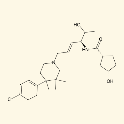 CC(O)[C@H](/C=C/CN1CCC(C)(C2=CC=C(Cl)CC2)C(C)(C)C1)NC(=O)[C@@H]1CC[C@H](O)C1